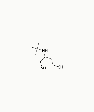 CC(C)(C)NC(CS)CCS